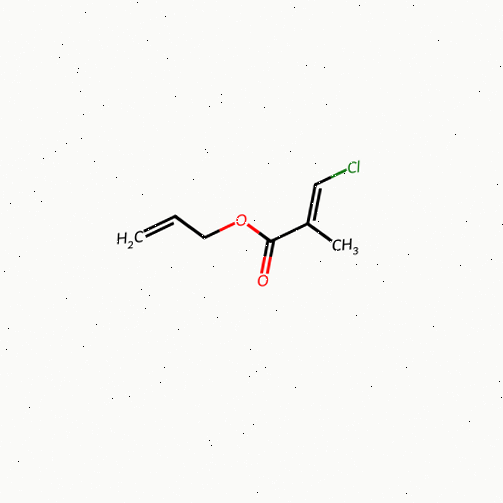 C=CCOC(=O)C(C)=CCl